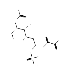 CC(=O)O[C@H](CO)[C@@H](O)[C@H](O)[C@H](O)[C@H](CC(=O)C(=O)O)OP(=O)(O)O